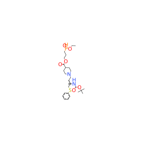 CCO[PH](=O)CCCOC(=O)C1CCN(CC[C@H](CSc2ccccc2)NC(=O)OC(C)(C)C)CC1